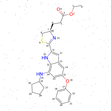 CCOC(=O)CC[C@@H]1CSC(c2cc3cc(Oc4ccccc4)cc(NC4CCCC4)c3[nH]2)=N1